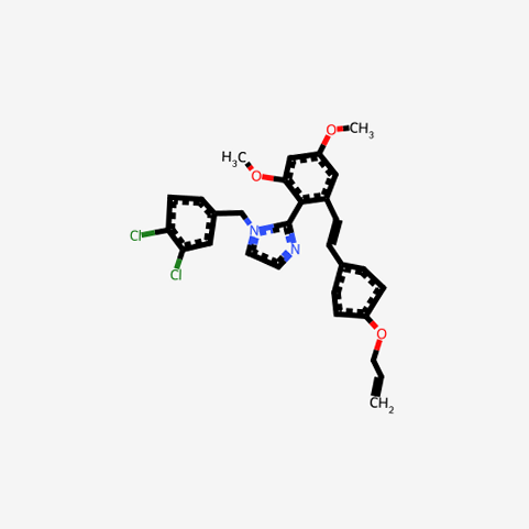 C=CCOc1ccc(C=Cc2cc(OC)cc(OC)c2-c2nccn2Cc2ccc(Cl)c(Cl)c2)cc1